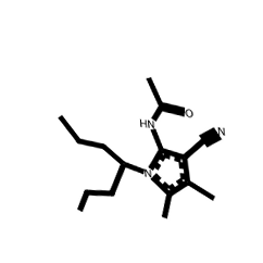 CCCC(CCC)n1c(C)c(C)c(C#N)c1NC(C)=O